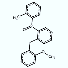 COc1ccccc1Cc1ccccc1[P](=O)c1ccccc1C